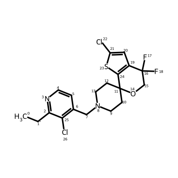 C[CH]c1nccc(CN2CCC3(CC2)OCC(F)(F)c2cc(Cl)sc23)c1Cl